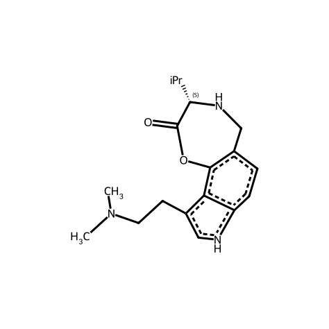 CC(C)[C@@H]1NCc2ccc3[nH]cc(CCN(C)C)c3c2OC1=O